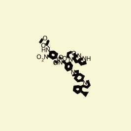 O=C(NS(=O)(=O)c1ccc(NC[C@H]2COCCO2)c([N+](=O)[O-])c1)c1ccc(N2CC3(CCC(N4CCCC4c4ccccc4C4CC4)CC3)C2)cc1N1CCCOc2nc3[nH]ccc3cc21